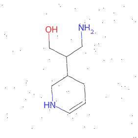 NCC(CO)C1CC=CNC1